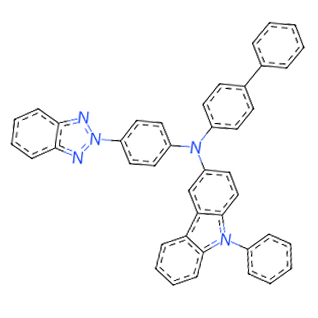 c1ccc(-c2ccc(N(c3ccc(-n4nc5ccccc5n4)cc3)c3ccc4c(c3)c3ccccc3n4-c3ccccc3)cc2)cc1